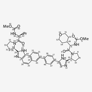 COC(=O)NC(C(=O)N1CCC[C@H]1c1ncc(-c2ccc(-c3ccc4c(ccc5nc([C@H]6SCCN6C(=O)[C@@H](NC(=O)OC)C(C)C)[nH]c54)c3)cc2)[nH]1)C1CCOCC1